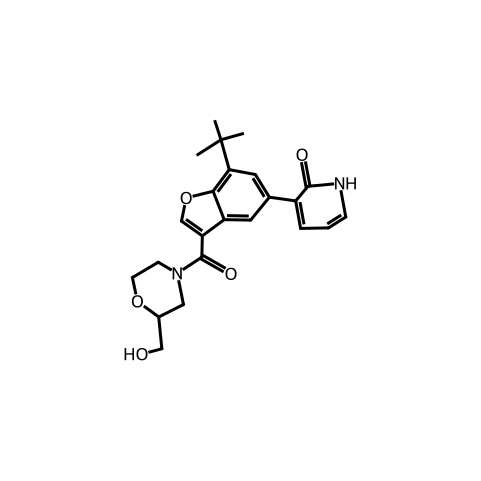 CC(C)(C)c1cc(-c2ccc[nH]c2=O)cc2c(C(=O)N3CCOC(CO)C3)coc12